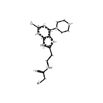 O=C(CBr)NCCc1nc2c(N3CCOCC3)nc(Cl)nc2[nH]1